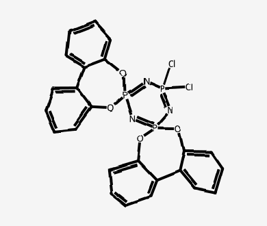 ClP1(Cl)=NP2(=NP3(=N1)Oc1ccccc1-c1ccccc1O3)Oc1ccccc1-c1ccccc1O2